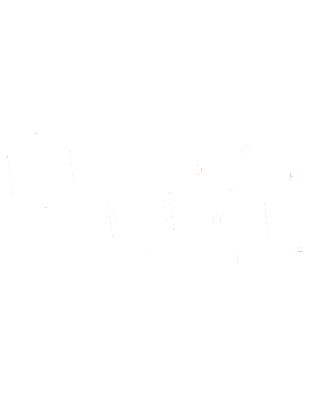 O=S(=O)(Oc1cccc(C2CCCCC2)c1)C(F)C(F)F